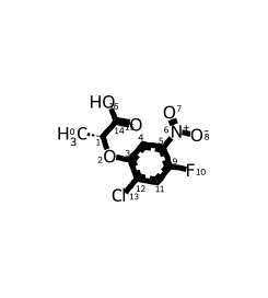 C[C@@H](Oc1cc([N+](=O)[O-])c(F)cc1Cl)C(=O)O